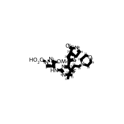 COc1nn(C(=O)O)cc1NC1=NC(C)(C)C(F)(CCN2CCOCC2)C(c2cc3c(s2)C=NC3=O)=N1